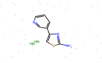 Br.Br.Nc1nc(-c2cccnc2)cs1